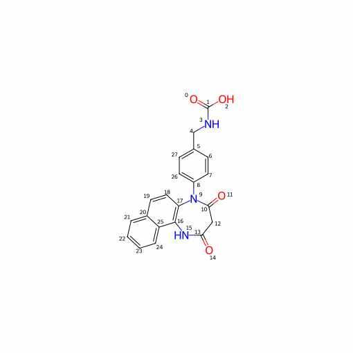 O=C(O)NCc1ccc(N2C(=O)CC(=O)Nc3c2ccc2ccccc32)cc1